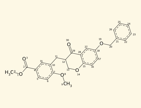 COC(=O)c1ccc(OC)c(CC2COc3ccc(OCc4ccccc4)cc3C2=O)c1